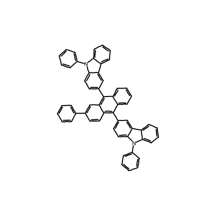 c1ccc(-c2ccc3c(-c4ccc5c(c4)c4ccccc4n5-c4ccccc4)c4ccccc4c(-c4ccc5c(c4)c4ccccc4n5-c4ccccc4)c3c2)cc1